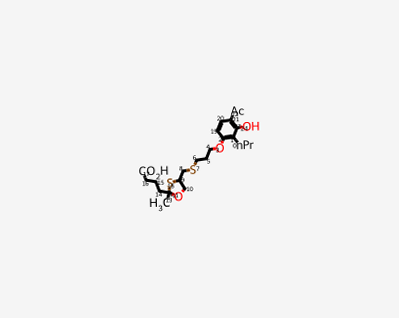 CCCc1c(OCCCSCC2COC(C)(CCCC(=O)O)S2)ccc(C(C)=O)c1O